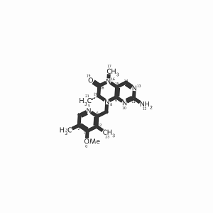 COc1c(C)cnc(CN2c3nc(N)ncc3N(C)C(=O)[C@H]2C)c1C